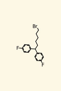 Fc1ccc(C(CCCCCBr)c2ccc(F)cc2)cc1